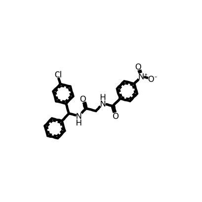 O=C(CNC(=O)c1ccc([N+](=O)[O-])cc1)NC(c1ccccc1)c1ccc(Cl)cc1